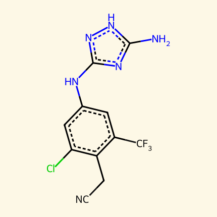 N#CCc1c(Cl)cc(Nc2n[nH]c(N)n2)cc1C(F)(F)F